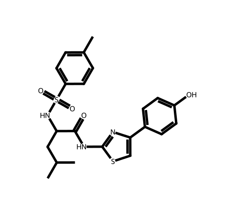 Cc1ccc(S(=O)(=O)NC(CC(C)C)C(=O)Nc2nc(-c3ccc(O)cc3)cs2)cc1